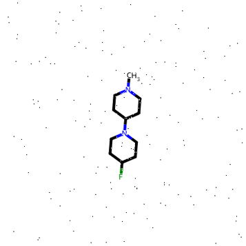 CN1CCC(N2CCC(F)CC2)CC1